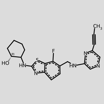 CC#Cc1cncc(NCc2ccc3nc(NC4CCCC[C@H]4O)sc3c2F)n1